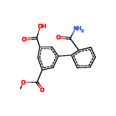 COC(=O)c1cc(C(=O)O)cc(-c2ccccc2C(N)=O)c1